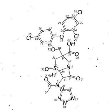 CC(=O)N(C1C(=O)N2CC(COc3cc(Cl)ccc3Oc3ccc(Cl)cc3Cl)(C(=O)O)C[S+]([O-])[C@H]12)n1cnnn1